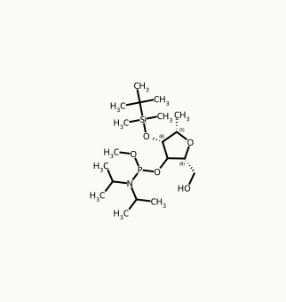 COP(OC1[C@@H](CO)O[C@@H](C)[C@H]1O[Si](C)(C)C(C)(C)C)N(C(C)C)C(C)C